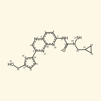 O=C(Nc1ccc2ncc(-c3ccc(CO)s3)nc2n1)N(S)CC1CC1